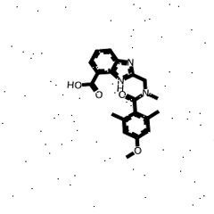 COc1cc(C)c(C(=O)N(C)Cc2nc3cccc(C(=O)O)c3[nH]2)c(C)c1